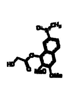 COc1cc2ccc([S+](C)[O-])cc2c(OC(=O)CO)c1OC